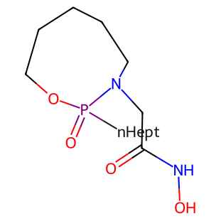 CCCCCCCP1(=O)OCCCCCN1CC(=O)NO